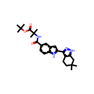 CC1(C)CCc2c(-c3cc4cc(C(=O)NC(C)(C)C(=O)OC(C)(C)C)ccc4[nH]3)n[nH]c2C1